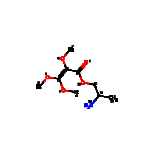 CCOC(OCC)=C(OCC)C(=O)OCC(C)N